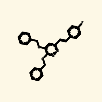 Fc1ccc(/C=C/c2cc(OCc3ccccc3)c(OCc3ccccc3)nn2)cc1